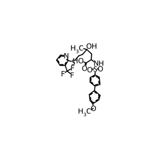 COc1ccc(-c2ccc(S(=O)(=O)NC(CC(C)(O)CCSc3ncccc3C(F)(F)F)C(=O)O)cc2)cc1